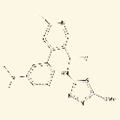 COc1nnc(NC(=O)c2cnc(C)cc2-c2cccc(N(C)C)c2)s1